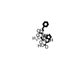 BN([C@@H](C)C(=O)N1[C@H](C(=O)O)C[C@@H]2CCC[C@@H]21)[C@@H](CCc1ccccc1)C(=O)O